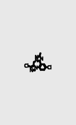 Cc1nc2n(n1)Cc1c(Cl)ncn1-c1ccc(Cl)cc1-2